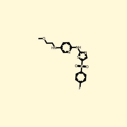 COCCNc1ccc(Nc2ncc(S(=O)(=O)c3ccc(F)cc3)s2)nc1